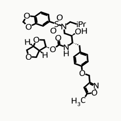 Cc1cc(COc2ccc(C[C@H](NC(=O)O[C@H]3CO[C@H]4COC[C@H]43)[C@H](O)CN(CC(C)C)S(=O)(=O)c3ccc4c(c3)OCO4)cc2)no1